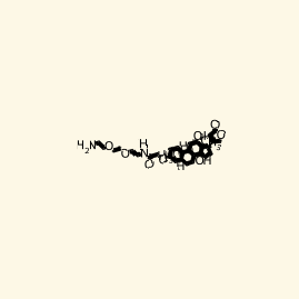 C[C@]12CC[C@H](OCC(=O)NCCOCCOCCN)C[C@H]1CCC1[C@H]2C[C@@H](O)[C@]2(C)[C@@H](C3=CC(=O)OC3)CC[C@]12O